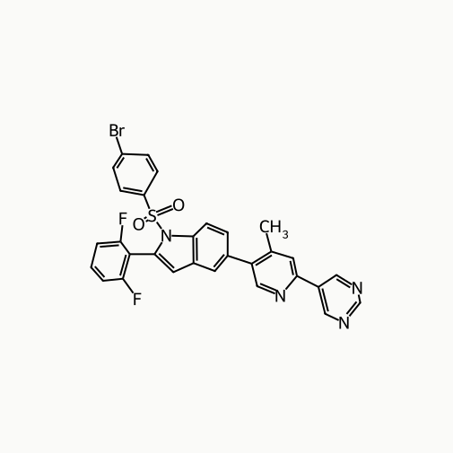 Cc1cc(-c2cncnc2)ncc1-c1ccc2c(c1)cc(-c1c(F)cccc1F)n2S(=O)(=O)c1ccc(Br)cc1